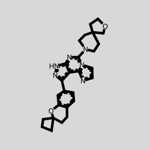 c1cn2c(N3CCC4(CCOC4)CC3)nc3[nH]nc(-c4ccc5c(c4)OC4(CCC4)CC5)c3c2n1